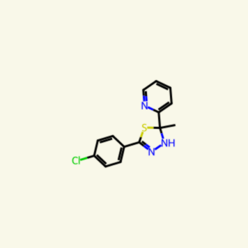 CC1(c2ccccn2)NN=C(c2ccc(Cl)cc2)S1